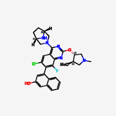 CO[C@@H]1CN(C)C[C@H]1Oc1nc(N2C[C@H]3CC[C@@H](C2)N3)c2cc(Cl)c(-c3cc(O)cc4ccccc34)c(F)c2n1